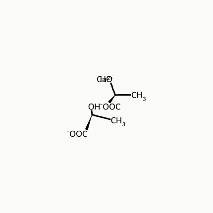 C[C@H](O)C(=O)[O-].C[C@H](O)C(=O)[O-].[Ca+2]